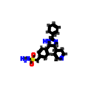 NS(=O)(=O)Cc1ccc(-c2[nH]c(-c3ccccc3)nc2-c2ccncc2)cc1